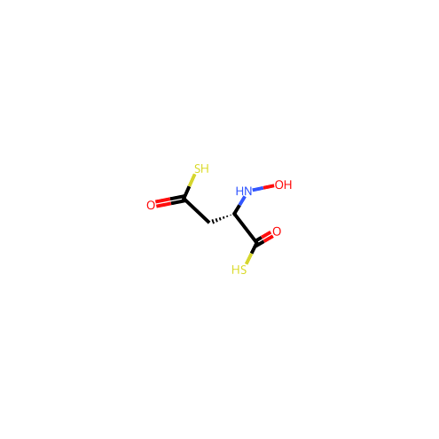 O=C(S)C[C@H](NO)C(=O)S